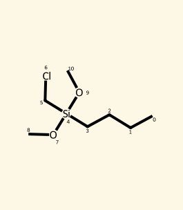 CCCC[Si](CCl)(OC)OC